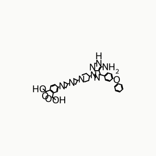 NC1=c2c(-c3ccc(Oc4ccccc4)cc3)nn(C3CCN(C4CN(C5CN(c6ccc(C(=O)O)c(C(=O)O)c6)C5)C4)CC3)c2=NCN1